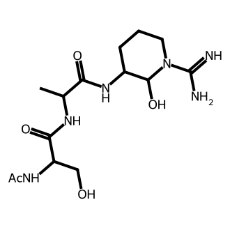 CC(=O)NC(CO)C(=O)NC(C)C(=O)NC1CCCN(C(=N)N)C1O